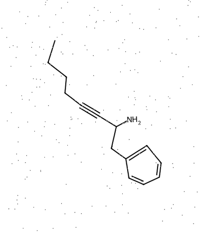 CCCCC#CC(N)Cc1ccccc1